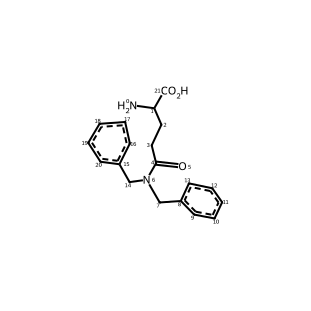 NC(CCC(=O)N(Cc1ccccc1)Cc1ccccc1)C(=O)O